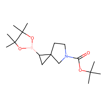 CC(C)(C)OC(=O)N1CCC2(CC2B2OC(C)(C)C(C)(C)O2)C1